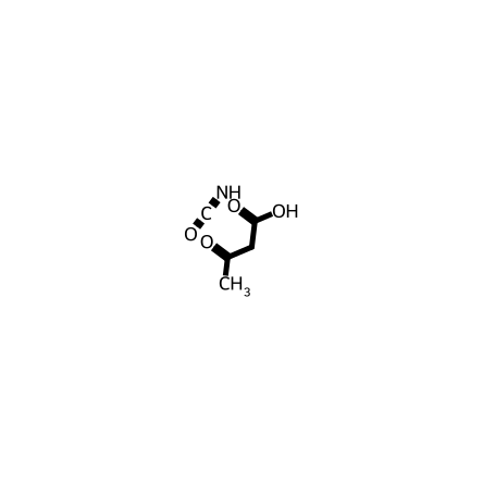 CC(=O)CC(=O)O.N=C=O